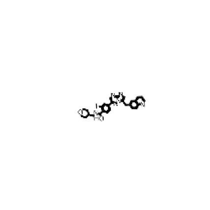 O=C(NCC1CCOCC1)c1ccc(-c2cnc3ncc(Cc4ccc5ncccc5c4)n3n2)cc1F